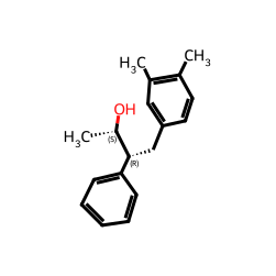 Cc1ccc(C[C@H](c2ccccc2)[C@H](C)O)cc1C